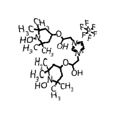 CC1(C)CC(OC(O)Cn2cc[n+](CC(O)OC3CC(C)(C)N(O)C(C)(C)C3)c2)CC(C)(C)N1O.F[P-](F)(F)(F)(F)F